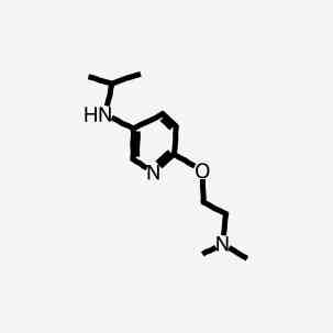 CC(C)Nc1ccc(OCCN(C)C)nc1